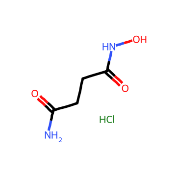 Cl.NC(=O)CCC(=O)NO